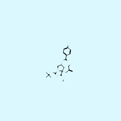 C=C(CCl)C[C@]1(C(=O)OC)C[C@H](OC(=O)c2ccc([N+](=O)[O-])cc2)[C@@H](C)N1C(=O)OC(C)(C)C